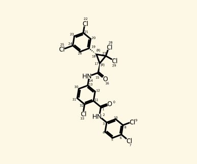 O=C(Nc1ccc(Cl)c(Cl)c1)c1cc(NC(=O)[C@H]2[C@H](c3cc(Cl)cc(Cl)c3)C2(Cl)Cl)ccc1Cl